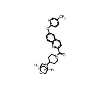 O=C(c1ccc2cc(Oc3ccc(C(F)(F)F)cn3)ccc2n1)N1CCC(N2C[C@H]3C[C@@H]2CO3)CC1